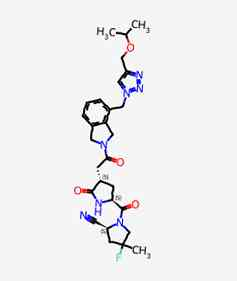 CC(C)OCc1cn(Cc2cccc3c2CN(C(=O)C[C@@H]2C[C@@H](C(=O)N4CC(C)(F)C[C@H]4C#N)NC2=O)C3)nn1